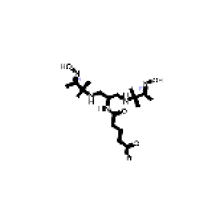 C/C(=N\O)C(C)(C)NCC(CNC(C)(C)/C(C)=N/O)NC(=O)CCCC(=O)C(C)C